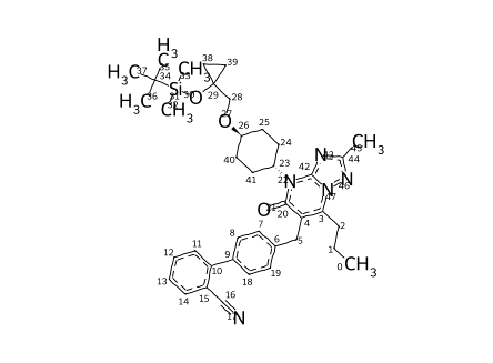 CCCc1c(Cc2ccc(-c3ccccc3C#N)cc2)c(=O)n([C@H]2CC[C@H](OCC3(O[Si](C)(C)C(C)(C)C)CC3)CC2)c2nc(C)nn12